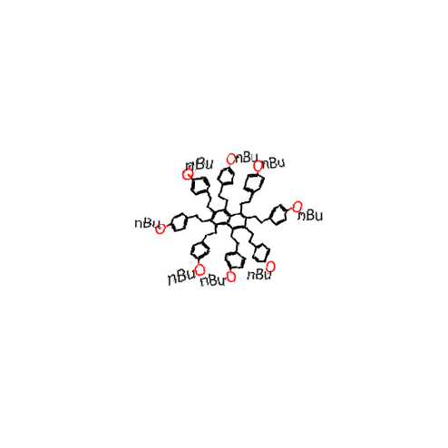 CCCCOc1ccc(CCc2c(CCc3ccc(OCCCC)cc3)c(CCc3ccc(OCCCC)cc3)c3c(CCc4ccc(OCCCC)cc4)c(CCc4ccc(OCCCC)cc4)c(CCc4ccc(OCCCC)cc4)c(CCc4ccc(OCCCC)cc4)c3c2CCc2ccc(OCCCC)cc2)cc1